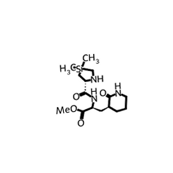 COC(=O)[C@H](C[C@@H]1CCCNC1=O)NC(=O)[C@@H]1C[Si](C)(C)CN1